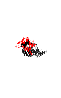 CC(=O)O.CC(=O)O.CC(=O)O.CC(=O)O.CC(=O)O.CC(=O)O.CC(=O)O.CC(=O)O.CC(=O)O.CC(=O)O.CC(=O)O.CCOC(=O)C(CCO)(C(CCO)(CCO)C(O)(CCO)CCO)C(CCO)(CCO)C(CCO)(CCO)OCCO